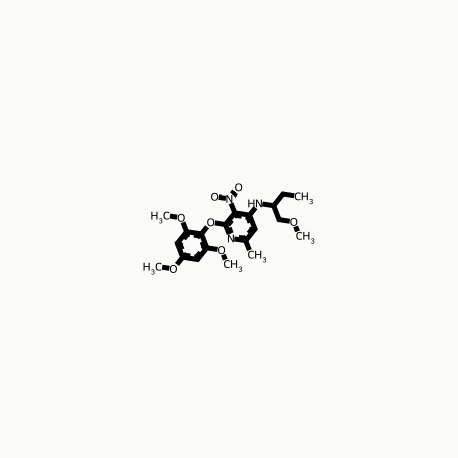 CCC(COC)Nc1cc(C)nc(Oc2c(OC)cc(OC)cc2OC)c1[N+](=O)[O-]